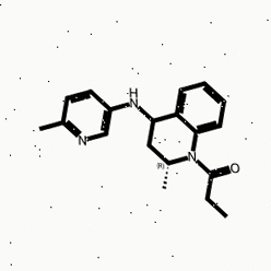 CCC(=O)N1c2ccccc2C(Nc2ccc(C)nc2)C[C@H]1C